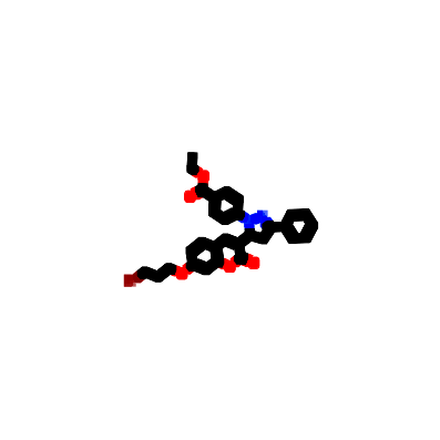 CCOC(=O)c1ccc(N2N=C(c3ccccc3)CC2c2cc3ccc(OCCCBr)cc3oc2=O)cc1